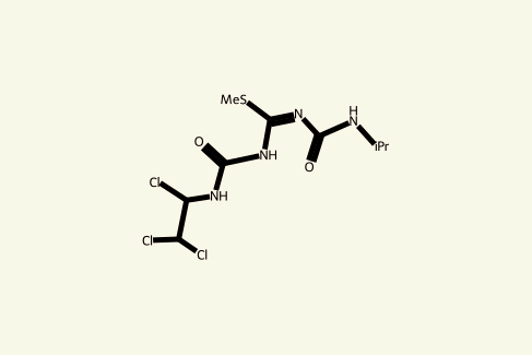 CSC(=NC(=O)NC(C)C)NC(=O)NC(Cl)C(Cl)Cl